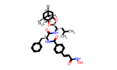 CC(C)C[C@H](NC(=O)[C@H](Cc1ccccc1)NC(=O)c1ccc(/C=C/C(=O)NO)cc1)B1OC2C[C@H]3C[C@H](C3(C)C)[C@@]2(C)O1